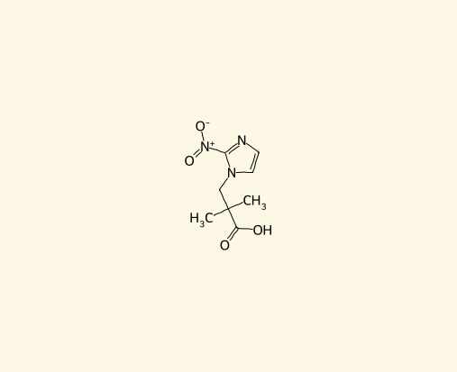 CC(C)(Cn1ccnc1[N+](=O)[O-])C(=O)O